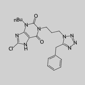 CCCCn1c(=O)n(CCCn2nnnc2Cc2ccccc2)c(=O)c2[nH]c(Cl)nc21